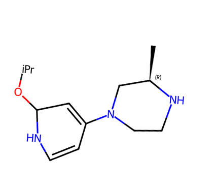 CC(C)OC1C=C(N2CCN[C@H](C)C2)C=CN1